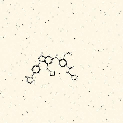 COc1cc(C(=O)NC2COC2)ccc1Nc1nc(OC2CCC2)c2c(-c3ccc(-c4ncc[nH]4)cc3)c[nH]c2n1